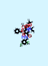 C=CC(C)N(C(=O)OC(C)(C)C)n1cc(C(=O)NCc2ccc(F)cc2F)c(=O)c(OCc2ccccc2)c1C(=O)OC